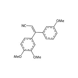 COc1cccc(C(=CC#N)c2ccc(OC)c(OC)c2)c1